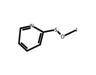 IOSc1ccccn1